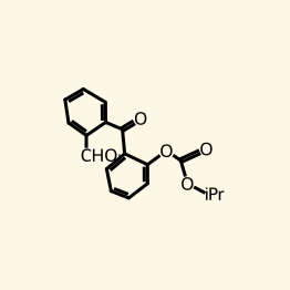 CC(C)OC(=O)Oc1ccccc1C(=O)c1ccccc1[C]=O